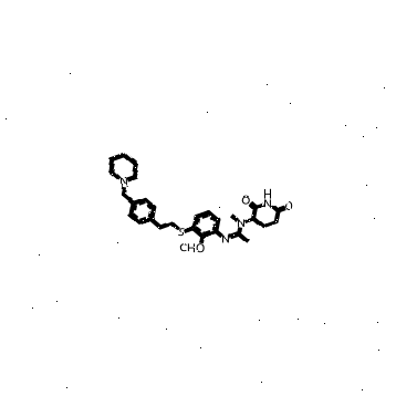 C/C(=N/c1cccc(SCCc2ccc(CN3CCCCC3)cc2)c1C=O)N(C)C1CCC(=O)NC1=O